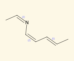 C\C=N/C=C\C=C\C